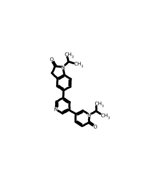 CC(C)N1C(=O)Cc2cc(-c3cncc(-c4ccc(=O)n(C(C)C)c4)c3)ccc21